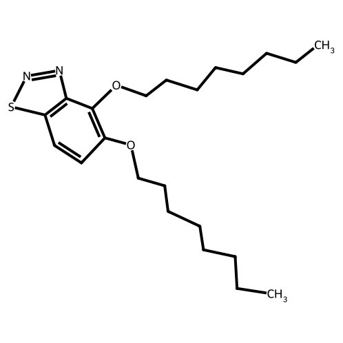 CCCCCCCCOc1ccc2snnc2c1OCCCCCCCC